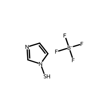 F[B-](F)(F)F.Sn1ccnc1